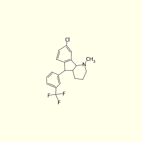 CN1CCCC2C(c3cccc(C(F)(F)F)c3)c3ccc(Cl)cc3C21